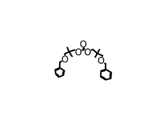 CC(C)(COCc1ccccc1)COC(=O)OCC(C)(C)COCc1ccccc1